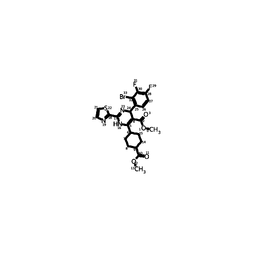 COC(=O)C1=C(C2CCC(C(=O)OC)CC2)NC(c2nccs2)=NC1c1ccc(F)c(F)c1Br